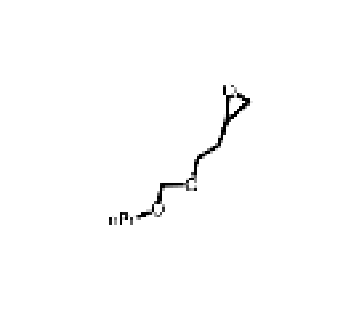 CCCOCOCCC1CO1